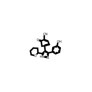 N#CC1=CC=C(c2c(-c3cccc(O)c3)n[nH]c2C2CCCCO2)CC1=O